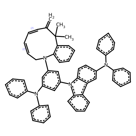 C=C1/C=C\C=C/CN(c2cc(N(c3ccccc3)c3ccccc3)cc(-n3c4ccccc4c4cc(N(c5ccccc5)c5ccccc5)ccc43)c2)c2ccccc2C1(C)C